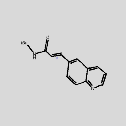 CC(C)(C)NC(=O)/C=C/c1ccc2ncccc2c1